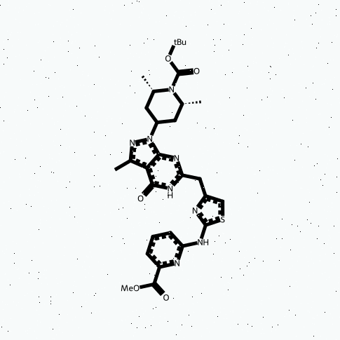 COC(=O)c1cccc(Nc2nc(Cc3nc4c(c(C)nn4C4C[C@@H](C)N(C(=O)OC(C)(C)C)[C@@H](C)C4)c(=O)[nH]3)cs2)n1